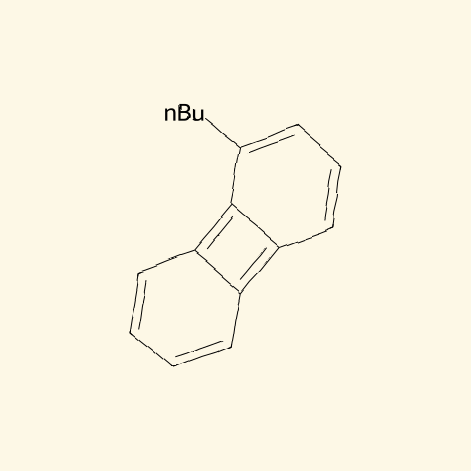 CCCCc1cccc2c1=c1ccccc1=2